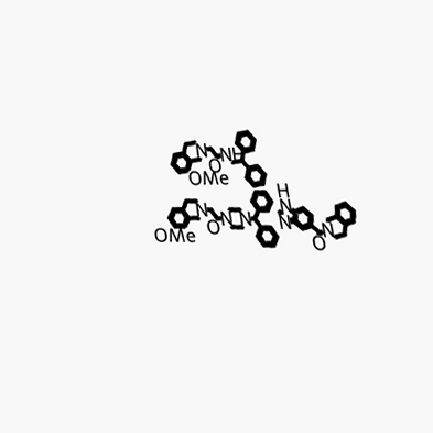 COc1cccc2c1CN(CC(=O)N1CCN(C(c3ccccc3)c3ccccc3)CC1)CC2.COc1cccc2c1CN(CC(=O)NCC(c1ccccc1)c1ccccc1)CC2.O=C(c1ccc2[nH]cnc2c1)N1CCc2ccccc2C1